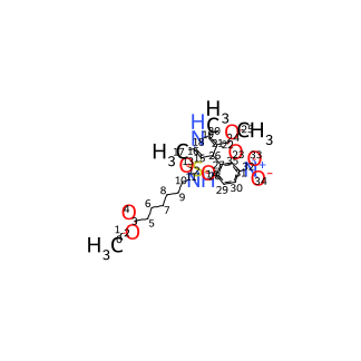 CCOC(=O)CCCCCCNS(=O)(=O)C1=C(C)NC(C)=C(C(=O)OC)C1c1cccc([N+](=O)[O-])c1